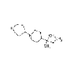 CCC(C)(C)C1CCN(C2CCOCC2)CC1